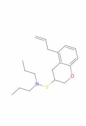 C=CCc1cccc2c1CC(SN(CCC)CCC)CO2